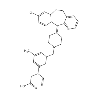 CC1=CC(CN2CCC(=C3c4ncccc4CCC4C=C(Cl)C=CC34)CC2)C[N+](C(C=O)CC(=O)O)=C1